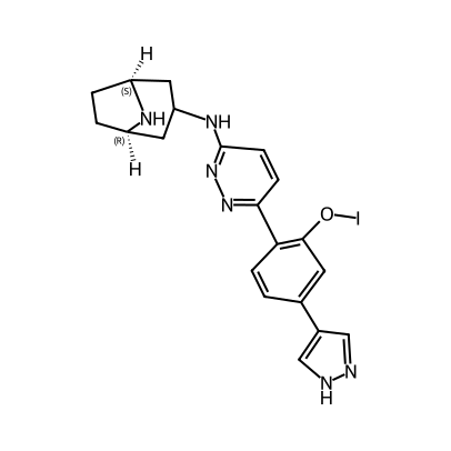 IOc1cc(-c2cn[nH]c2)ccc1-c1ccc(NC2C[C@H]3CC[C@@H](C2)N3)nn1